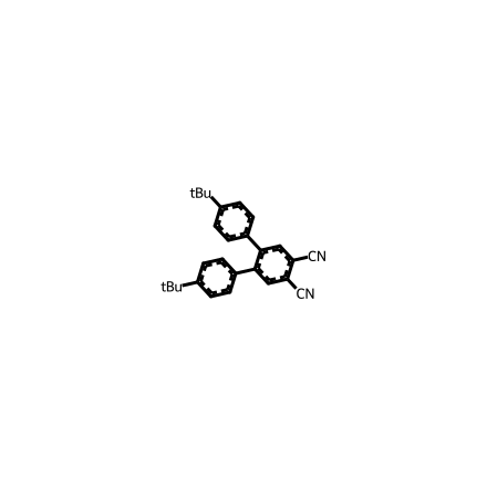 CC(C)(C)c1ccc(-c2cc(C#N)c(C#N)cc2-c2ccc(C(C)(C)C)cc2)cc1